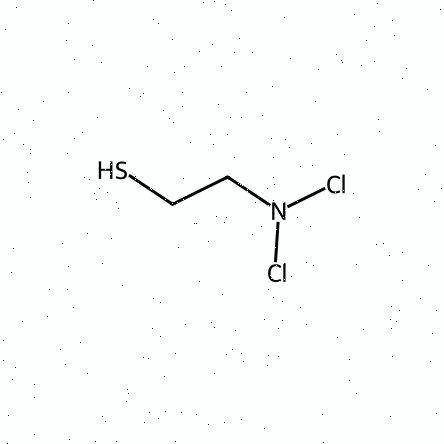 SCCN(Cl)Cl